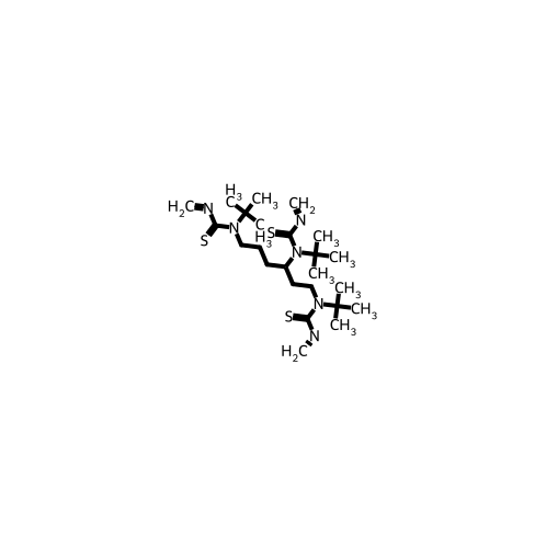 C=NC(=S)N(CCCC(CCN(C(=S)N=C)C(C)(C)C)N(C(=S)N=C)C(C)(C)C)C(C)(C)C